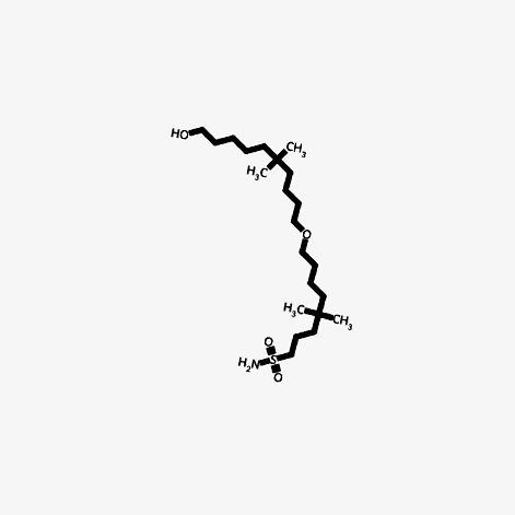 CC(C)(CCCCCO)CCCCOCCCCC(C)(C)CCCS(N)(=O)=O